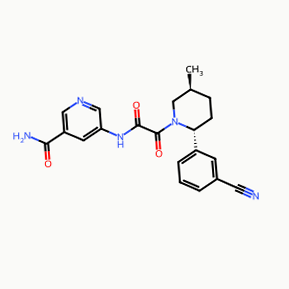 C[C@H]1CC[C@H](c2cccc(C#N)c2)N(C(=O)C(=O)Nc2cncc(C(N)=O)c2)C1